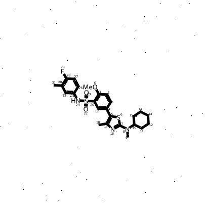 COc1ccc(-c2sc(N(C)C3CCCCC3)nc2C)cc1S(=O)(=O)Nc1ccc(F)c(C)c1